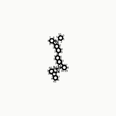 c1ccc(-n2c3ccccc3c3cc4cc(-c5ccc6cc7c(cc6c5)c5ccccc5n7-c5nc6c7c(cccc7n5)-c5ccccc5-6)ccc4cc32)cc1